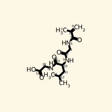 C=C(C)C(=O)NCC(=O)NC(CC(C)C)C(=O)NCC(=O)O